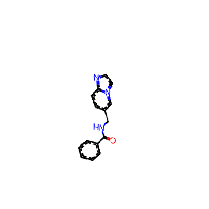 O=C(NCc1ccc2nccn2c1)c1ccccc1